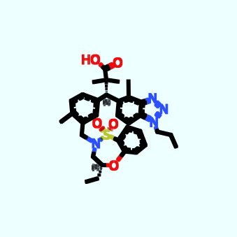 CCCn1nnc2c(C)c([C@H](c3ccc(C)c(CN4C[C@@H](CC)Oc5ccccc5S4(=O)=O)c3)C(C)(C)C(=O)O)ccc21